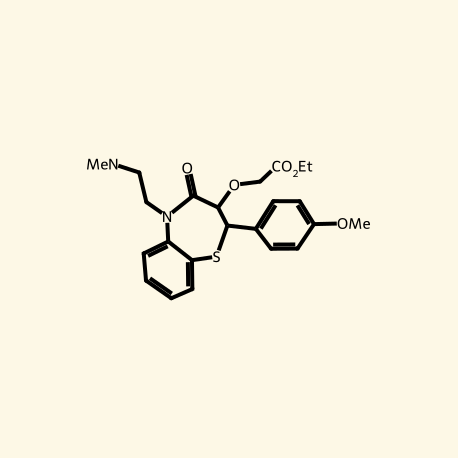 CCOC(=O)COC1C(=O)N(CCNC)c2ccccc2SC1c1ccc(OC)cc1